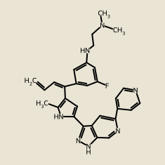 C=C/C=C(/c1cc(F)cc(NCCN(C)C)c1)c1cc(-c2n[nH]c3cnc(-c4ccncc4)cc23)[nH]c1C